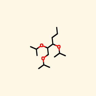 CCCC(OC(C)C)C(COC(C)C)OC(C)C